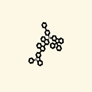 c1ccc(-c2ccc(N(c3ccc4c(c3)C(c3ccccc3)(c3ccccc3)c3ccccc3-4)c3ccc(-c4ccc(-c5ccc6c(c5)c5ccccc5n6-c5ccccc5)c5ccccc45)c4ccccc34)cc2)cc1